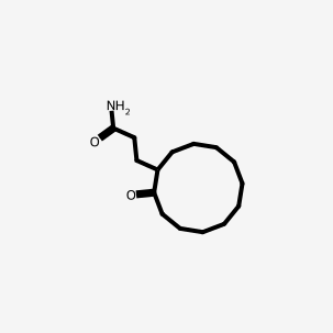 NC(=O)CCC1CCCCCCCCCCC1=O